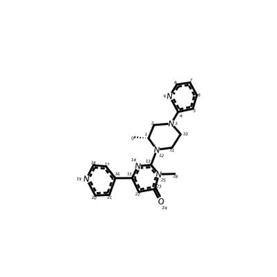 C[C@@H]1CN(c2ccccn2)CCN1c1nc(-c2ccncc2)cc(=O)n1C